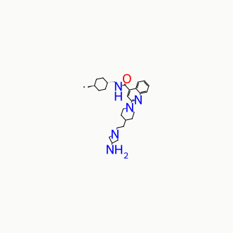 [CH2][C@H]1CC[C@H](CNC(=O)c2cc(N3CCC(CCN4CC(N)C4)CC3)nc3ccccc23)CC1